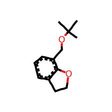 CC(C)(C)OCc1cccc2c1OCC2